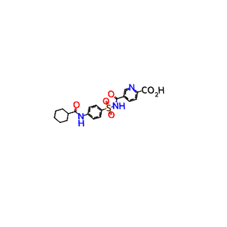 O=C(NS(=O)(=O)c1ccc(NC(=O)C2CCCCC2)cc1)c1ccc(C(=O)O)nc1